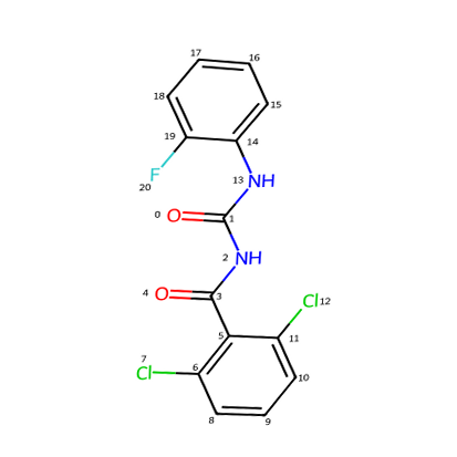 O=C(NC(=O)c1c(Cl)cccc1Cl)Nc1ccccc1F